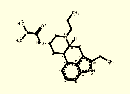 CCCN1C[C@@H](NC(=O)N(C)C)CC2c3cccc4[nH]c(CC)c(c34)C[C@H]21